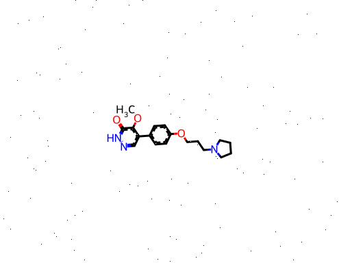 COc1c(-c2ccc(OCCCN3CCCC3)cc2)cn[nH]c1=O